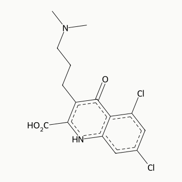 CN(C)CCCc1c(C(=O)O)[nH]c2cc(Cl)cc(Cl)c2c1=O